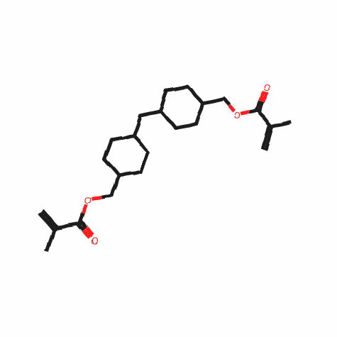 C=C(C)C(=O)OCC1CCC(CC2CCC(COC(=O)C(=C)C)CC2)CC1